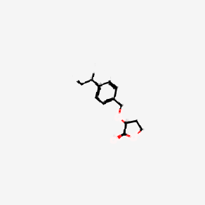 CCC(C)c1ccc(COC2CCOC2=O)cc1